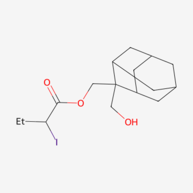 CCC(I)C(=O)OCC1(CO)C2CC3CC(C2)CC1C3